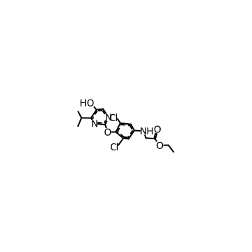 CCOC(=O)CNc1cc(Cl)c(Oc2ncc(O)c(C(C)C)n2)c(Cl)c1